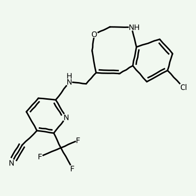 N#Cc1ccc(NC/C2=C/c3cc(Cl)ccc3NCOC2)nc1C(F)(F)F